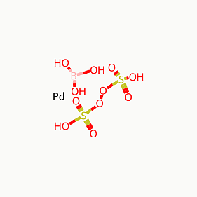 O=S(=O)(O)OOS(=O)(=O)O.OB(O)O.[Pd]